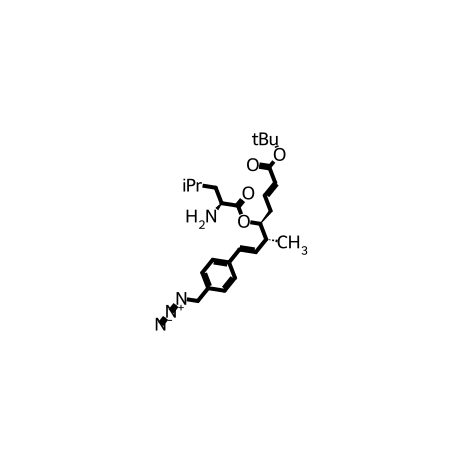 CC(C)C[C@H](N)C(=O)O[C@@H](CC=CC(=O)OC(C)(C)C)[C@H](C)C=Cc1ccc(CN=[N+]=[N-])cc1